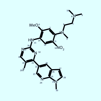 COc1cc(N(C)CCN(C)C)c([N+](=O)[O-])cc1Nc1ncc(F)c(-c2cnc3c(ccn3C)c2)n1